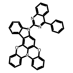 c1ccc(-c2nc(-n3c4ccccc4c4c5c6c(cc43)Oc3ccccc3N6c3ccccc3O5)nc3ccccc23)cc1